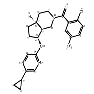 O=C(c1cc(C(F)(F)F)ccc1Cl)N1CC[C@@H]2CC[C@H](Oc3cnc(C4CC4)cn3)N2C1